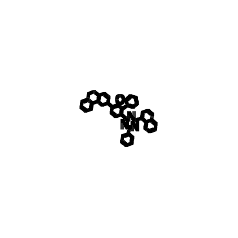 C1=CC(c2ccc(-c3nc(-c4ccccc4)nc(-c4cccc5ccccc45)n3)c3c2oc2ccccc23)CC2=C1CCc1ccccc12